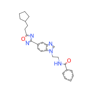 O=C(NCCn1cnc2cc(-c3noc(CCC4CCCC4)n3)ccc21)c1ccccc1